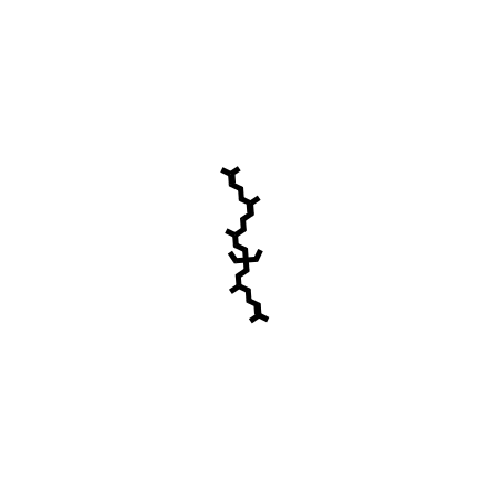 CCC(CC)(CCC(C)CCC=C(C)C)CCC(C)CCC=C(C)CCC=C(C)C